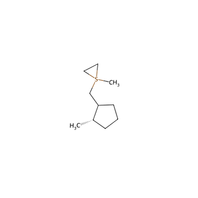 C[C@H]1CCCC1CS1(C)CC1